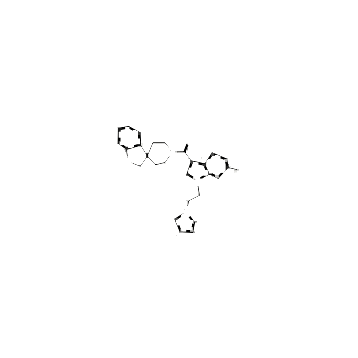 O=C(c1cn(CCn2cccc2)c2cc(Cl)ccc12)N1CCC2(CC1)COc1ccccc12